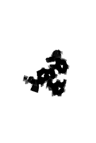 CNc1ccc2c(Sc3ccccc3[N+](=O)[O-])cn(Cc3cccc(F)c3)c2c1